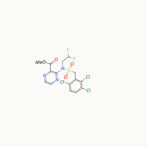 COC(=O)c1nccnc1N(CC(F)F)S(=O)(=O)Cc1c(Cl)ccc(Cl)c1Cl